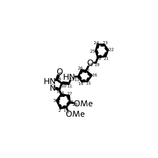 COc1ccc(C2=NNC(=O)C2=CNc2cccc(OCc3ccccc3)c2)cc1OC